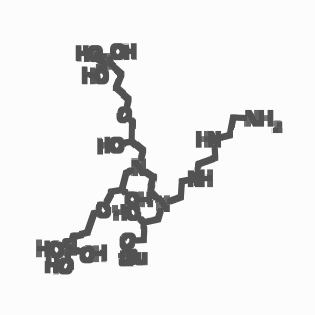 CC(C)(C)OCC(O)CN(CCNCCNCCN)CCN(CC(O)COCCC[Si](O)(O)O)CC(O)COCCC[Si](O)(O)O